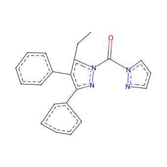 CCc1c(-c2ccccc2)c(-c2ccccc2)nn1C(=O)n1cccn1